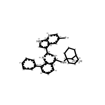 O=C(O)C1C2CCCC1(Nc1nc(-c3c[nH]c4ncc(F)cc34)nc3c(-c4ccccc4)cccc13)CCC2